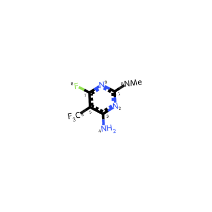 CNc1nc(N)c(C(F)(F)F)c(F)n1